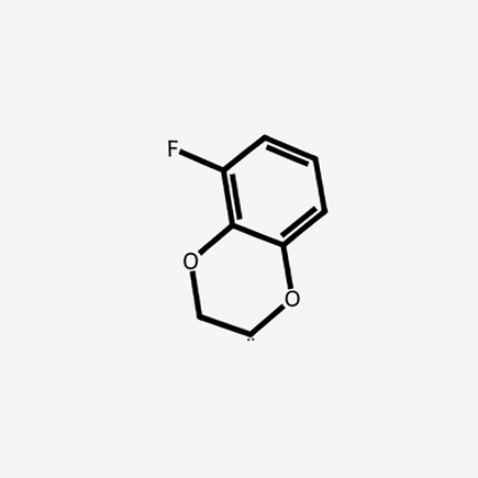 Fc1cccc2c1OC[C]O2